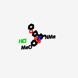 CNCc1cc(-c2ccc(Oc3ccccc3)cc2)n(S(=O)(=O)c2ccc(OC)cc2)c1.Cl